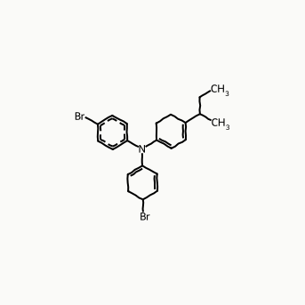 CCC(C)C1=CC=C(N(C2=CCC(Br)C=C2)c2ccc(Br)cc2)CC1